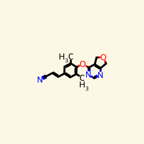 Cc1cc(C=CC#N)cc(C)c1Oc1ncnc2c1COC2